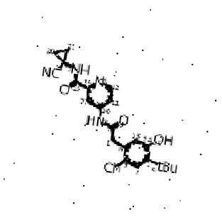 CC(C)(C)c1cc(Cl)c(CC(=O)Nc2ccnc(C(=O)NC3(C#N)CC3)c2)cc1O